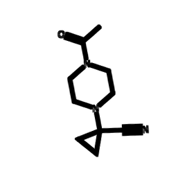 CC(=O)N1CCN(C2(C#N)CC2)CC1